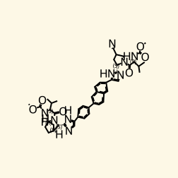 COC(=O)N[C@H](C(=O)N1CC(C#N)C[C@H]1c1ncc(-c2ccc3cc(-c4ccc(-c5cnc([C@@H]6[C@H]7CC[C@H](C7)N6C(=O)[C@@H](NC(=O)OC)C(C)C)[nH]5)cc4)ccc3c2)[nH]1)C(C)C